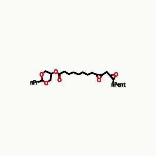 CCCCCC1OC1CC1OC1CCCCCCCC(=O)OC1COC(CCC)OC1